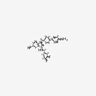 N#Cc1cnc2c(c1)c(NCc1ccc(F)c(F)c1)nn2Cc1ccc(-c2cnc(N)cn2)cc1